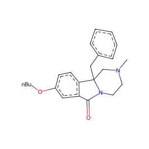 CCCCOc1ccc2c(c1)C(=O)N1CCN(C)CC21Cc1ccccc1